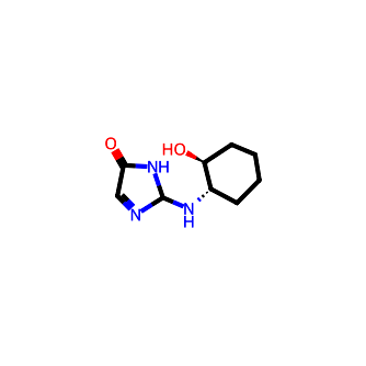 O=C1C=NC(N[C@H]2CCCC[C@@H]2O)N1